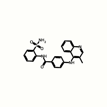 Cc1cnc2ccccc2c1Nc1ccc(C(=O)Nc2ccccc2S(N)(=O)=O)cc1